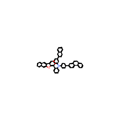 c1cc(-c2ccc3ccccc3c2)cc(N(c2ccc(-c3ccc4c(ccc5ccccc54)c3)cc2)c2ccccc2-c2cccc3c2oc2cc4ccccc4cc23)c1